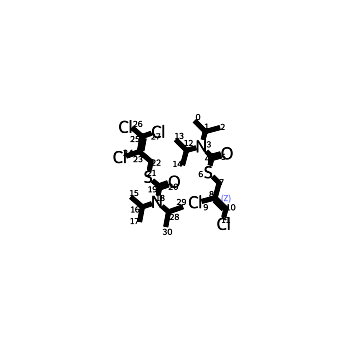 CC(C)N(C(=O)SC/C(Cl)=C/Cl)C(C)C.CC(C)N(C(=O)SCC(Cl)=C(Cl)Cl)C(C)C